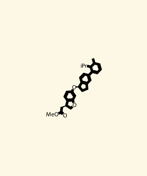 COC(=O)C[C@@H]1COc2cc(O[C@@H]3CCc4cc(C5=CC=CC(C)C5C(C)C)ccc43)ccc21